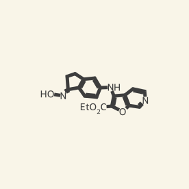 CCOC(=O)c1oc2cnccc2c1Nc1ccc2c(c1)CC/C2=N\O